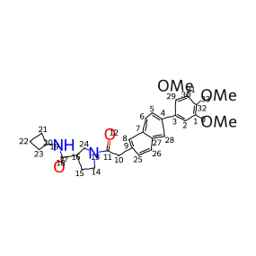 COc1cc(-c2ccc3cc(CC(=O)N4CCC(C(=O)NC5CCC5)C4)ccc3c2)cc(OC)c1OC